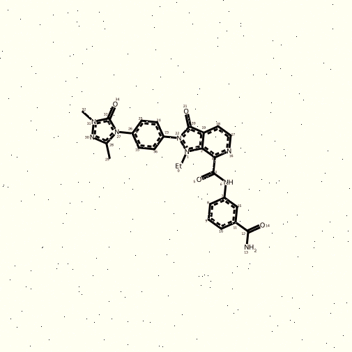 CCn1c2c(C(=O)Nc3cccc(C(N)=O)c3)nccc2c(=O)n1-c1ccc(-n2c(C)nn(C)c2=O)cc1